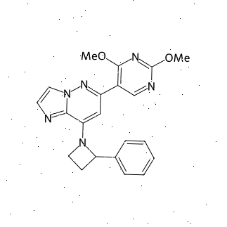 COc1ncc(-c2cc(N3CCC3c3ccccc3)c3nccn3n2)c(OC)n1